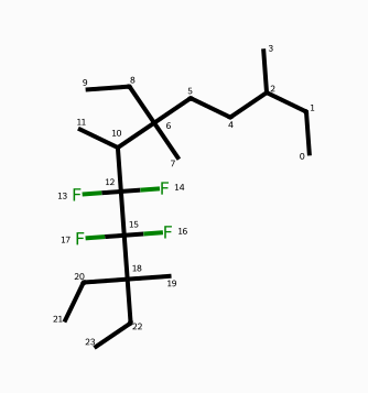 CCC(C)CCC(C)(CC)C(C)C(F)(F)C(F)(F)C(C)(CC)CC